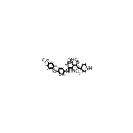 O=COC(CC1CCNCC1)c1ncnc(Nc2ccc(Oc3ccc(C(F)(F)F)cc3)cc2)c1[N+](=O)[O-]